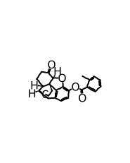 Cc1ccccc1C(=O)Oc1ccc2c3c1O[C@H]1C(=O)CC[C@H]4[C@H](CCC[C@]314)C2